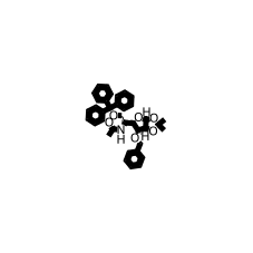 CC(=O)N[C@H](COC(c1ccccc1)(c1ccccc1)c1ccccc1)[C@H]1O[C@@H]2OC(C)(C)O[C@@H]2[C@H]1OCc1ccccc1